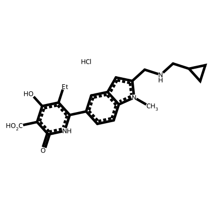 CCc1c(-c2ccc3c(c2)cc(CNCC2CC2)n3C)[nH]c(=O)c(C(=O)O)c1O.Cl